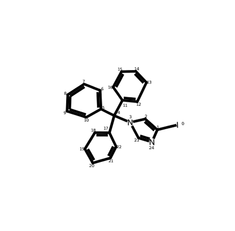 Ic1cn(C(C2=CC=C=C=C2)(c2ccccc2)c2ccccc2)cn1